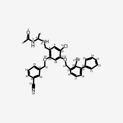 CC(=O)NC(C)NCc1cc(Cl)c(OCc2cccc(-c3ccccc3)c2Br)cc1OCc1cccc(C#N)c1